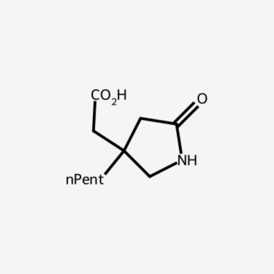 CCCCCC1(CC(=O)O)CNC(=O)C1